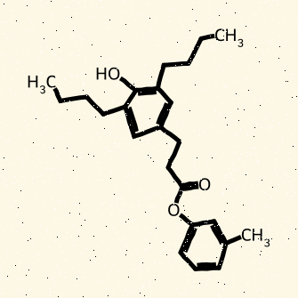 CCCCc1cc(CCC(=O)Oc2cccc(C)c2)cc(CCCC)c1O